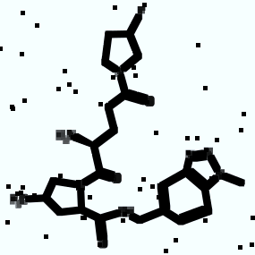 Cn1nnc2cc(CNC(=O)C3CC(C(F)(F)F)CN3C(=O)[C@@H](N)CCC(=O)N3CCC(F)C3)ccc21